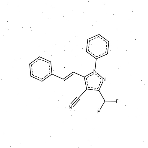 N#Cc1c(C(F)F)nn(-c2ccccc2)c1C=Cc1ccccc1